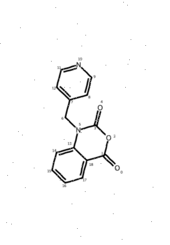 O=c1oc(=O)n(Cc2ccncc2)c2ccccc12